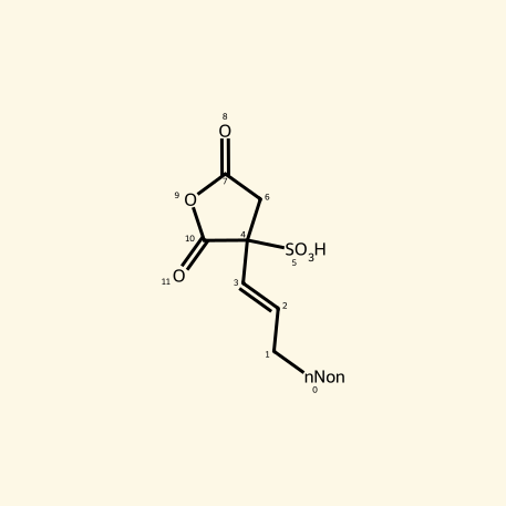 CCCCCCCCCC/C=C/C1(S(=O)(=O)O)CC(=O)OC1=O